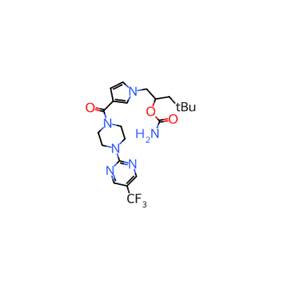 CC(C)(C)CC(Cn1ccc(C(=O)N2CCN(c3ncc(C(F)(F)F)cn3)CC2)c1)OC(N)=O